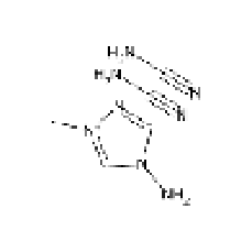 C[n+]1cn(N)cn1.N#CN.N#CN